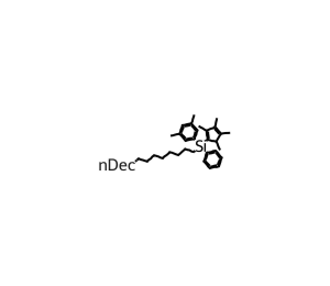 CCCCCCCCCCCCCCCCCC[Si](C1=C(C)C(C)=C(C)C1C)(c1ccccc1)c1cc(C)cc(C)c1